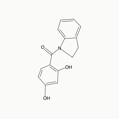 O=C(c1ccc(O)cc1O)N1CCc2ccccc21